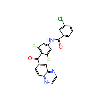 O=C(Nc1cc(F)c(C(=O)c2ccc3nccnc3c2)c(F)c1)c1cccc(Cl)c1